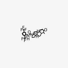 CC1C(=O)C=C[C@@]2(C)C1CC[C@@H]1[C@H]2CC[C@@]2(C)[C@H]1CCN2C(=O)Nc1cc(C(F)(F)F)ccc1C(F)(F)F